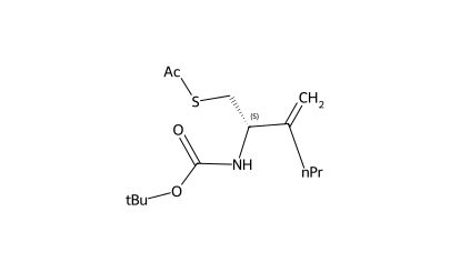 C=C(CCC)[C@@H](CSC(C)=O)NC(=O)OC(C)(C)C